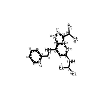 CCC(CC)Nc1cc(NCc2ccccn2)c2nnc(C(CC)CC)n2n1